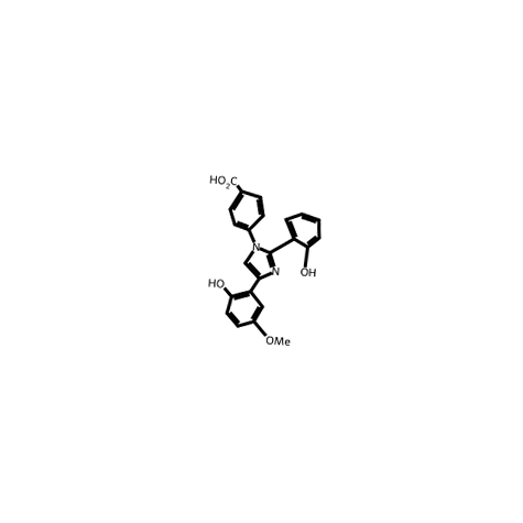 COc1ccc(O)c(-c2cn(-c3ccc(C(=O)O)cc3)c(-c3ccccc3O)n2)c1